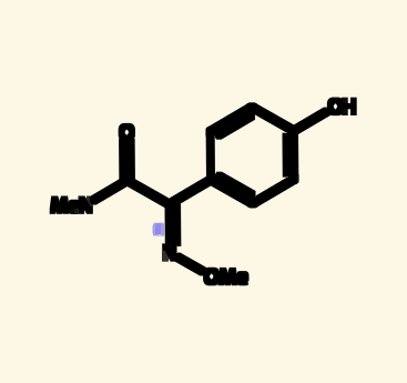 CNC(=O)/C(=N/OC)c1ccc(O)cc1